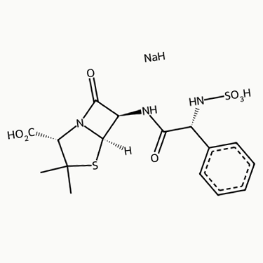 CC1(C)S[C@@H]2[C@H](NC(=O)[C@H](NS(=O)(=O)O)c3ccccc3)C(=O)N2[C@H]1C(=O)O.[NaH]